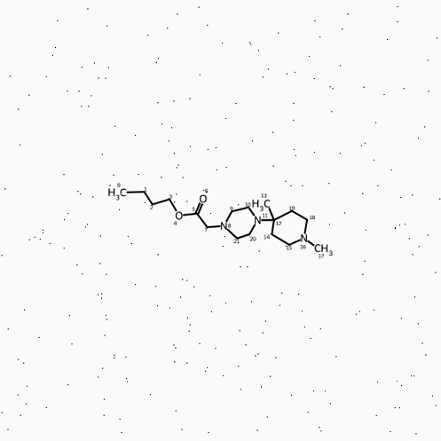 CCCCOC(=O)CN1CCN(C2(C)CCN(C)CC2)CC1